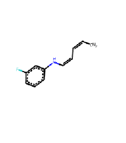 C/C=C\C=C/Nc1cccc(F)c1